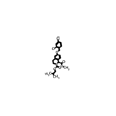 COC(=O)C1c2ccc(OCc3ccc(Cl)cc3Cl)cc2CCN1C(=O)OCC(C)C